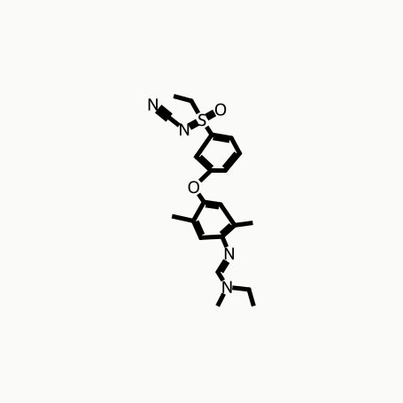 CCN(C)C=Nc1cc(C)c(Oc2cccc(S(=O)(CC)=NC#N)c2)cc1C